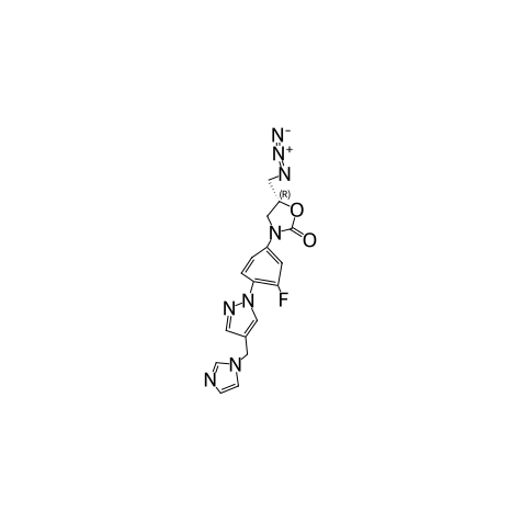 [N-]=[N+]=NC[C@H]1CN(c2ccc(-n3cc(Cn4ccnc4)cn3)c(F)c2)C(=O)O1